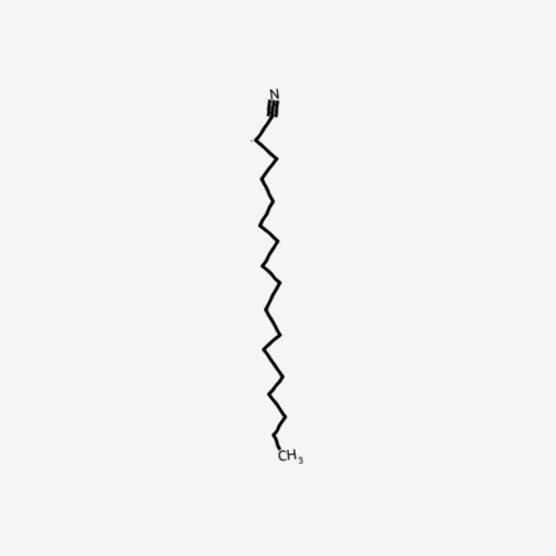 CCCCCCCCCCCCCCC[CH]C#N